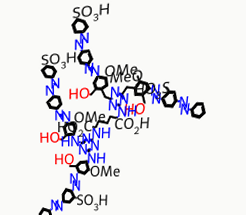 COc1cc(N=Nc2ccc(N=Nc3ccccc3)cc2S(=O)(=O)O)c(CO)cc1Cc1nc(Cc2cc(OC)c(N=Nc3ccc(N=Nc4ccc(S(=O)(=O)O)cc4)cc3)cc2CO)nc(NC(CCCC(Nc2nc(Nc3cc(OC)c(N=Nc4ccc(N=Nc5ccc(S(=O)(=O)O)cc5)cc4)cc3CO)nc(Nc3cc(CO)c(N=Nc4ccc(N=Nc5ccccc5)cc4S(=O)(=O)O)cc3OC)n2)C(=O)O)C(=O)O)n1